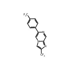 FC(F)(F)c1ccc(-c2cn3cc(C(F)(F)F)nc3cn2)cc1